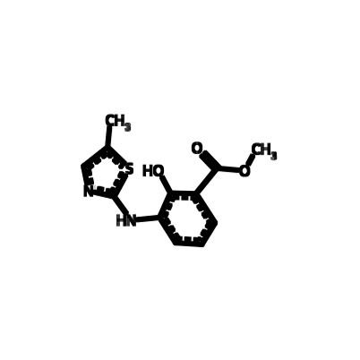 COC(=O)c1cccc(Nc2ncc(C)s2)c1O